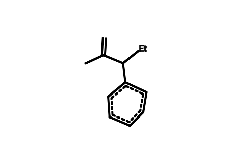 C=C(C)C(CC)c1ccccc1